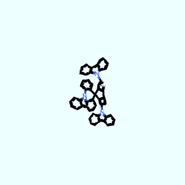 c1ccc2c(c1)-n1c3ccccc3c3cccc(c31)C21c2cc(-n3c4ccccc4c4ccccc43)ccc2-c2ccc(-n3c4ccccc4c4ccccc43)cc21